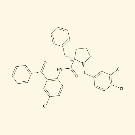 O=C(c1ccccc1)c1cc(Cl)ccc1NC(=O)[C@@]1(Cc2ccccc2)CCCN1Cc1ccc(Cl)c(Cl)c1